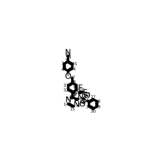 N#Cc1ccc(OCc2ccc(-c3nccnc3N(C(F)(F)F)S(=O)(=O)c3ccccc3)cc2)cc1